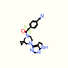 N#Cc1ccc(C(F)(F)C(=O)N2CCN(c3ncnc4[nH]ccc34)CC3(CC3)C2)cc1